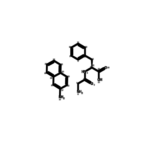 NCC(=O)N[C@@H](Cc1ccccc1)C(=O)O.Nc1ccc2ccccc2c1